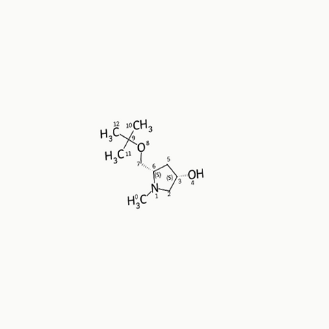 CN1C[C@@H](O)C[C@H]1COC(C)(C)C